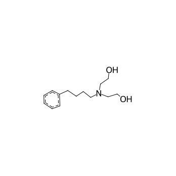 OCCN(CCO)CCCCc1ccccc1